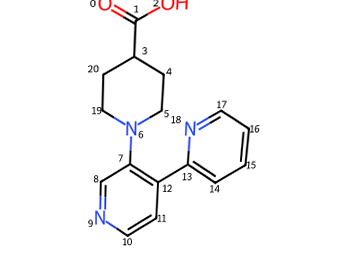 O=C(O)C1CCN(c2cnccc2-c2ccccn2)CC1